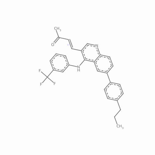 CCCc1ccc(-c2ccc3ncc(/C=C/C(C)=O)c(Nc4cccc(C(F)(F)F)c4)c3c2)cc1